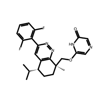 CC(C)[C@H]1CC[C@](C)(COc2cncc(=O)[nH]2)c2nnc(-c3c(F)cccc3F)cc21